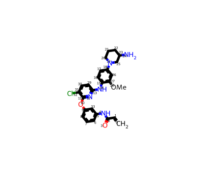 C=CC(=O)Nc1cccc(Oc2nc(Nc3ccc(N4CCCC(N)C4)cc3OC)ccc2Cl)c1